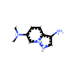 CN(C)c1ccc2c(N)cnn2c1